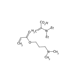 C=C(C(=O)O)N(CC)CC.C=CC(=O)OCCCN(C)C